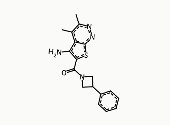 Cc1nnc2sc(C(=O)N3CC(c4ccccc4)C3)c(N)c2c1C